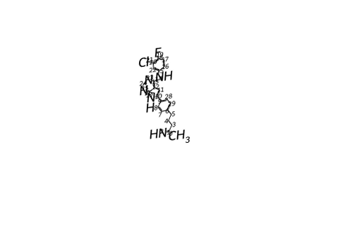 CC(=N)CCCc1ccc(-c2cc3c(Nc4ccc(F)c(Cl)c4)ncnc3[nH]2)cc1